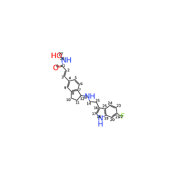 O=C(C=Cc1ccc2c(c1)CCC2NCCc1c[nH]c2cc(F)ccc12)NO